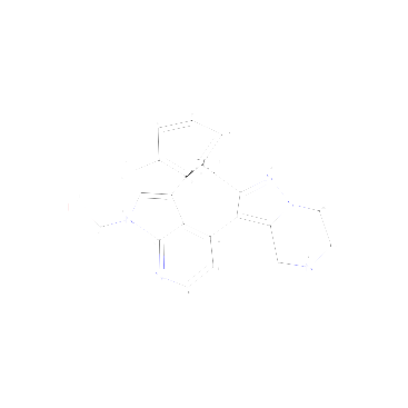 Cc1cn(CO)c2nccc(-c3c(-c4cccc(C(F)(F)F)c4)nn4c3CNCC4)c12